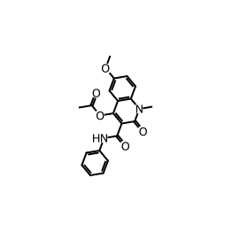 COc1ccc2c(c1)c(OC(C)=O)c(C(=O)Nc1ccccc1)c(=O)n2C